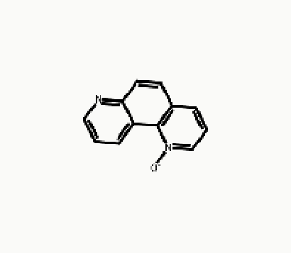 [O-][n+]1cccc2ccc3ncccc3c21